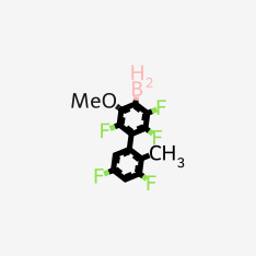 Bc1c(F)c(F)c(-c2cc(F)cc(F)c2C)c(F)c1OC